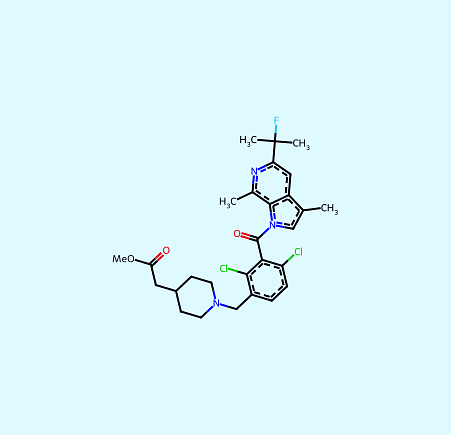 COC(=O)CC1CCN(Cc2ccc(Cl)c(C(=O)n3cc(C)c4cc(C(C)(C)F)nc(C)c43)c2Cl)CC1